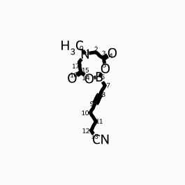 CN1CC(=O)OB(CC#CCCCC#N)OC(=O)C1